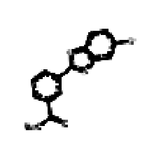 COC(=O)c1cccc(-c2nc3cc(Br)ccc3o2)c1